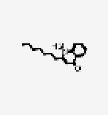 CCCCCCCc1cc(=O)c2ccccc2n1O